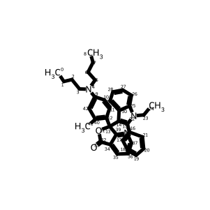 CCCCN(CCCC)c1ccc(C2(c3c(-c4ccccc4)n(CC)c4ccccc34)OC(=O)c3cccnc32)c(C)c1